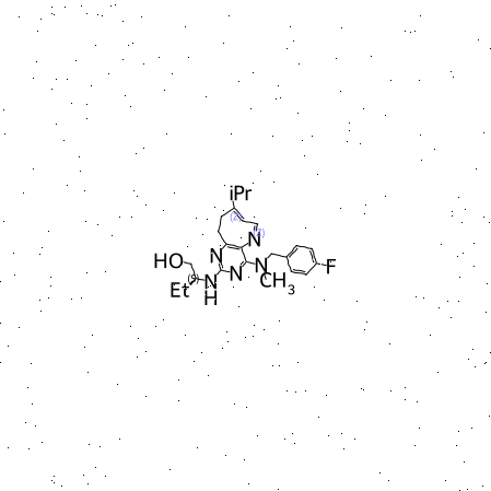 CC[C@@H](CO)Nc1nc2c(c(N(C)Cc3ccc(F)cc3)n1)/N=C\C=C(/C(C)C)CC2